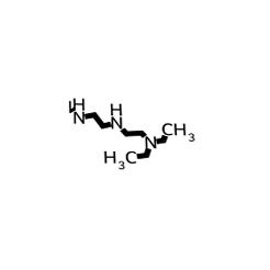 CCN(CC)CCNCCNI